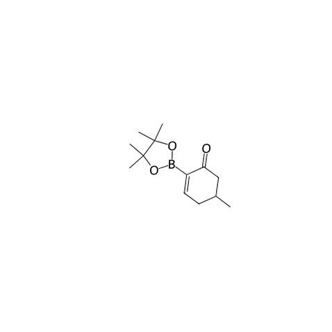 CC1CC=C(B2OC(C)(C)C(C)(C)O2)C(=O)C1